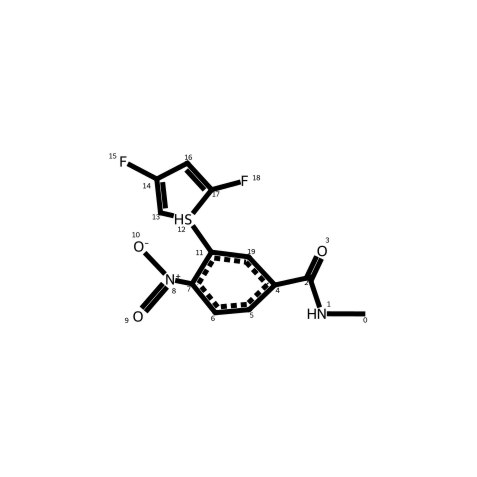 CNC(=O)c1ccc([N+](=O)[O-])c([SH]2C=C(F)C=C2F)c1